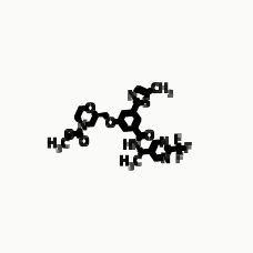 COC(=O)N1CCO[C@@H](COc2cc(C(=O)N[C@H](C)c3cnc(C(F)(F)F)nc3)cc(-c3ncc(C)s3)c2)C1